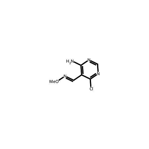 CO/N=C/c1c(N)ncnc1Cl